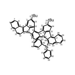 CC(C)(C)c1cc2c3c4ccccc4ccc3n3c4ncc5c(c6cc(C(C)(C)C)cc7c8c9ccccc9cc(N(c9ccccc9)c9ccccc9)c8n5c67)c4c(c1)c23